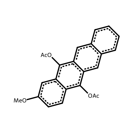 COc1ccc2c(OC(C)=O)c3cc4ccccc4cc3c(OC(C)=O)c2c1